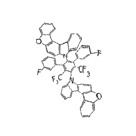 Fc1cccc(-c2c(-n3c4ccccc4c4c5c(ccc43)oc3ccccc35)c(-c3cccc(F)c3)c(C(F)(F)F)c(-n3c4ccccc4c4c5c(ccc43)oc3ccccc35)c2C(F)(F)F)c1